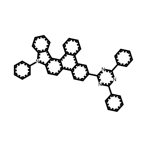 c1ccc(-c2nc(-c3ccccc3)nc(-c3ccc4c(c3)c3ccccc3c3c4ccc4c3c3ccccc3n4-c3ccccc3)n2)cc1